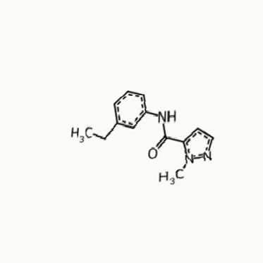 CCc1cccc(NC(=O)c2ccnn2C)c1